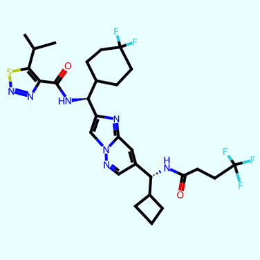 CC(C)c1snnc1C(=O)N[C@H](c1cn2ncc([C@H](NC(=O)CCC(F)(F)F)C3CCC3)cc2n1)C1CCC(F)(F)CC1